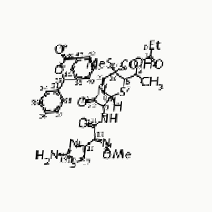 CCC(=O)OC(C)C1S[C@@H]2C(NC(=O)C(=NOC)c3csc(N)n3)C(=O)N2CC1(SC)C(=O)O.O=C1OC(c2ccccc2)c2cccc1c2